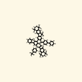 CC(C)(C)c1ccc(N2c3cc4c(oc5ccccc54)c4c3B(c3oc5cc6c(cc5c32)C(C)(C)CCC6(C)C)N(c2ccc(-c3ccccc3)cc2)c2cc3c(cc2-4)-c2cc4c(cc2C3(C)C)C(C)(C)CCC4(C)C)cc1